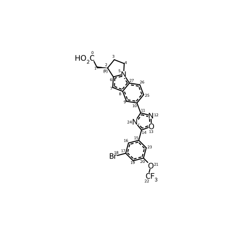 O=C(O)C[C@H]1CCn2c1cc1cc(-c3noc(-c4cc(Br)cc(OC(F)(F)F)c4)n3)ccc12